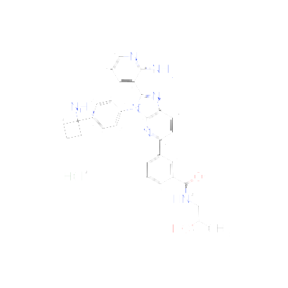 CC(O)CNC(=O)c1cccc(-c2ccc3nc(-c4cccnc4N)n(-c4ccc(C5(N)CCC5)cc4)c3n2)c1.Cl